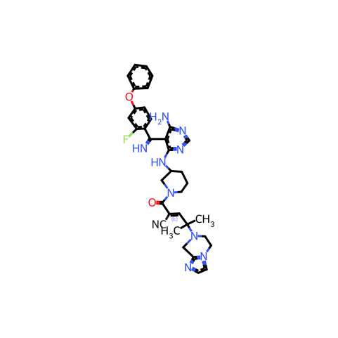 CC(C)(/C=C(\C#N)C(=O)N1CCCC(Nc2ncnc(N)c2C(=N)c2ccc(Oc3ccccc3)cc2F)C1)N1CCn2ccnc2C1